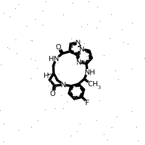 CC1Nc2ccn3ncc(c3n2)C(=O)NC[C@@H]2CC(=O)N(C2)c2ccc(F)cc21